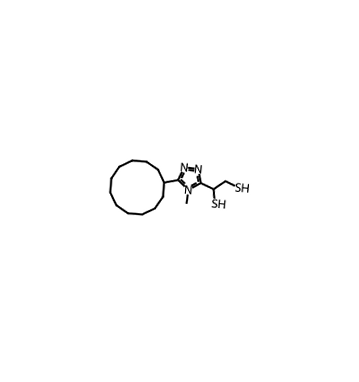 Cn1c(C(S)CS)nnc1C1CCCCCCCCCCC1